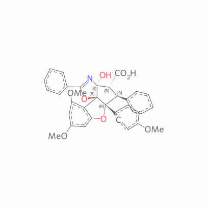 COc1ccc([C@@]23Oc4cc(OC)cc(OC)c4[C@@]24OC(c2ccccc2)=N[C@@]4(O)[C@H](C(=O)O)[C@H]3c2ccccc2)cc1